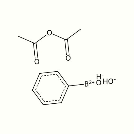 CC(=O)OC(C)=O.[B+2]c1ccccc1.[OH-].[OH-]